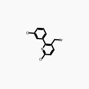 Clc1cccc(-c2nc(Cl)ccc2CBr)c1